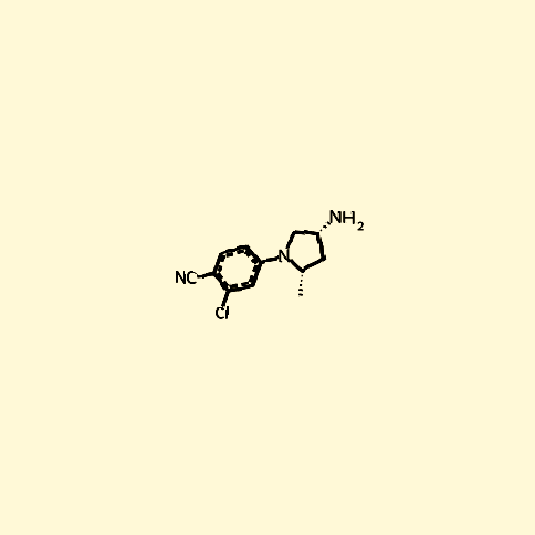 C[C@H]1C[C@@H](N)CN1c1ccc(C#N)c(Cl)c1